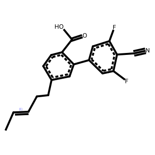 C/C=C/CCc1ccc(C(=O)O)c(-c2cc(F)c(C#N)c(F)c2)c1